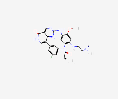 C=CC(=O)Nc1cc(Nc2ncc3c(=O)[nH]cc(-c4cccc(F)c4)c3n2)c(OC)cc1N(C)CCN(C)C